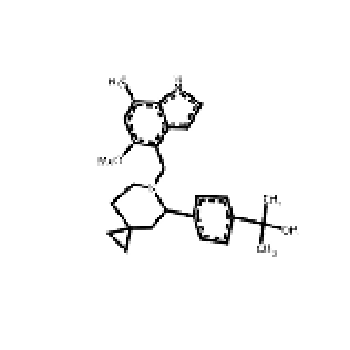 COc1cc(C)c2[nH]ccc2c1CN1CCC2(CC2)CC1c1ccc(C(C)(C)O)cc1